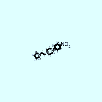 O=[N+]([O-])c1ccc(N2CCN(CCN3CCCC3)CC2)cc1